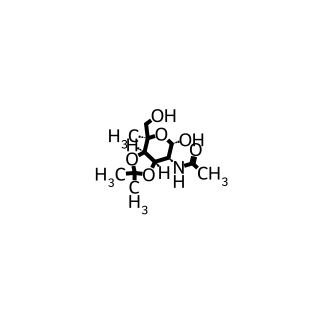 CC(=O)N[C@@H]1[C@H]2OC(C)(C)O[C@H]2[C@@](C)(CO)O[C@@H]1O